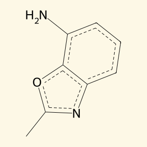 Cc1nc2cccc(N)c2o1